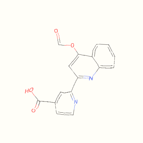 O=COc1cc(-c2cc(C(=O)O)ccn2)nc2ccccc12